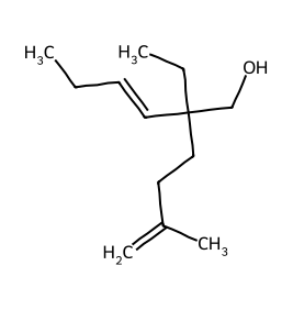 C=C(C)CCC(C=CCC)(CC)CO